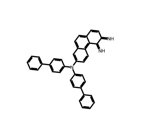 N=C1C=Cc2ccc3cc(N(c4ccc(-c5ccccc5)cc4)c4ccc(-c5ccccc5)cc4)ccc3c2C1=N